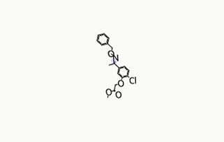 COC(=O)COc1cc(/C(C)=N/OCc2ccccc2)ccc1Cl